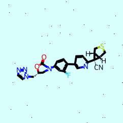 N#C[C@]1(c2ccc(-c3ccc(N4C[C@H](Cn5ccnn5)OC4=O)cc3F)cn2)[C@@H]2CSC[C@@H]21